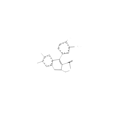 COc1cc(C2=C3C(=O)OC[C@H]3Cc3cc(C)c(C)cc32)ccc1C